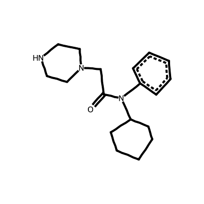 O=C(CN1CCNCC1)N(c1ccccc1)C1CCCCC1